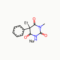 CCC1(c2ccccc2)C(=O)NC(=O)N(C)C1=O.[Na]